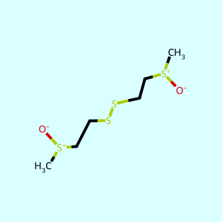 C[S+]([O-])CCSSCC[S+](C)[O-]